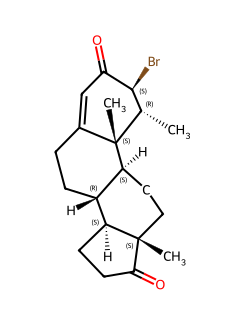 C[C@H]1[C@H](Br)C(=O)C=C2CC[C@@H]3[C@H](CC[C@]4(C)C(=O)CC[C@@H]34)[C@]21C